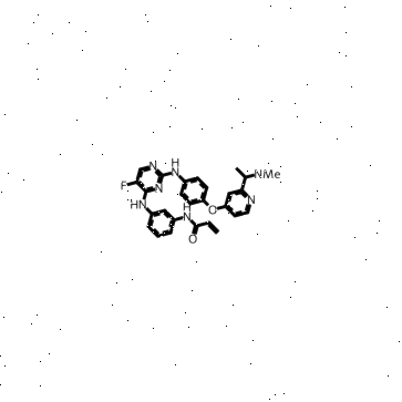 C=CC(=O)Nc1cccc(Nc2nc(Nc3ccc(Oc4ccnc(C(C)NC)c4)cc3)ncc2F)c1